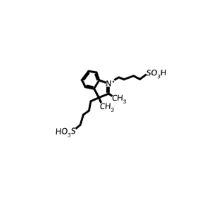 CC1=[N+](CCCCS(=O)(=O)O)c2ccccc2C1(C)CCCCS(=O)(=O)O